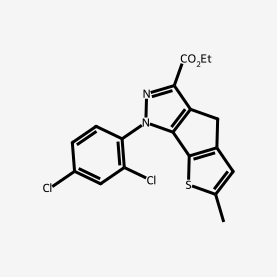 CCOC(=O)c1nn(-c2ccc(Cl)cc2Cl)c2c1Cc1cc(C)sc1-2